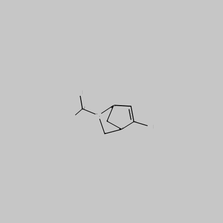 CC1=CC2CC1CN2C(C)C